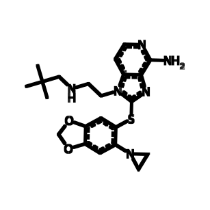 CC(C)(C)CNCCn1c(Sc2cc3c(cc2N2CC2)OCO3)nc2c(N)nccc21